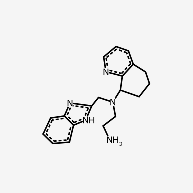 NCCN(Cc1nc2ccccc2[nH]1)C1CCCc2cccnc21